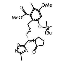 COC(=O)c1c(C)c(OC)cc(O[Si](C)(C)C(C)(C)C)c1CSC[C@@H](c1nc(C)no1)N1CCCC1=O